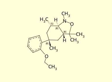 CCOc1ccccc1[C@@]1(C)C[C@@H]2[C@@H]([C@@H](C)C1)N(C)OC2(C)C